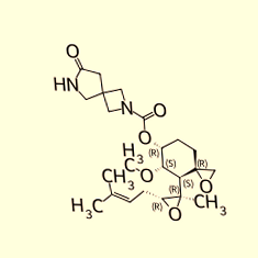 CO[C@@H]1[C@H](OC(=O)N2CC3(CNC(=O)C3)C2)CC[C@]2(CO2)[C@H]1[C@@]1(C)O[C@@H]1CC=C(C)C